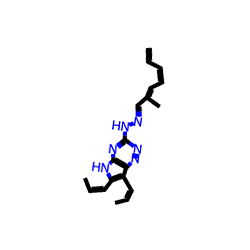 C=C\C=C/C=C(C)/C=N/Nc1nnc2c(/C=C\C)c(/C=C\C)[nH]c2n1